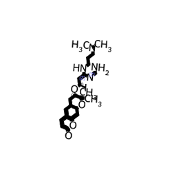 CN(C)CCCNC(=C/[C@@H](I)O[C@H]1CC2C=c3ccc(=O)oc3=CC2OC1(C)C)/N=C\N